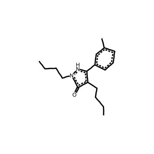 CCCCc1c(-c2cccc(C)c2)[nH]n(CCCC)c1=O